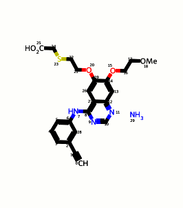 C#Cc1cccc(Nc2ncnc3cc(OCCOC)c(OCCSCC(=O)O)cc23)c1.N